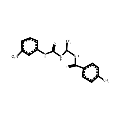 Cc1ccc(C(=O)NC(NC(=S)Nc2cccc([N+](=O)[O-])c2)C(F)(F)F)cc1